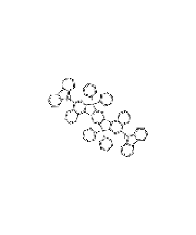 c1ccc(C2(c3ccccc3)c3cc4c(cc3-c3c2cc(-n2c5ccccc5c5ccccc52)c2ccccc32)C(c2ccccc2)(c2ccccc2)c2cc(-n3c5ccccc5c5ccccc53)c3ccccc3c2-4)cc1